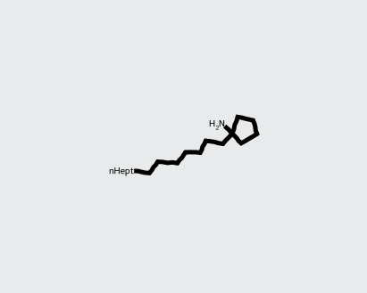 CCCCCCCCCCCCCCC1(N)CCCC1